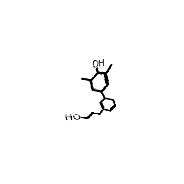 CC1=CC(C2C=C(CCCO)C=CC2)CC(C)C1O